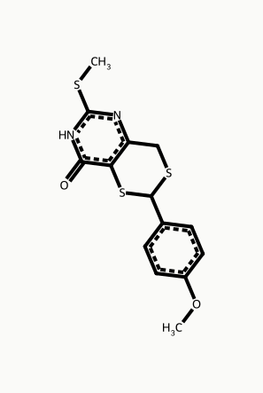 COc1ccc(C2SCc3nc(SC)[nH]c(=O)c3S2)cc1